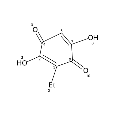 CCC1=C(O)C(=O)C=C(O)C1=O